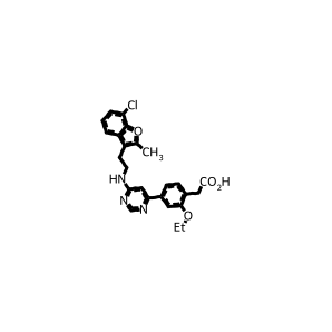 CCOc1cc(-c2cc(NCCc3c(C)oc4c(Cl)cccc34)ncn2)ccc1CC(=O)O